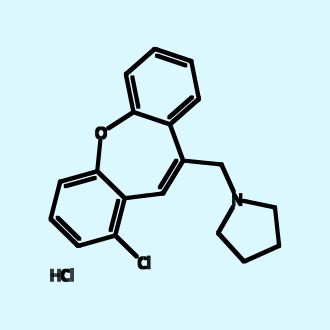 Cl.Clc1cccc2c1C=C(CN1CCCC1)c1ccccc1O2